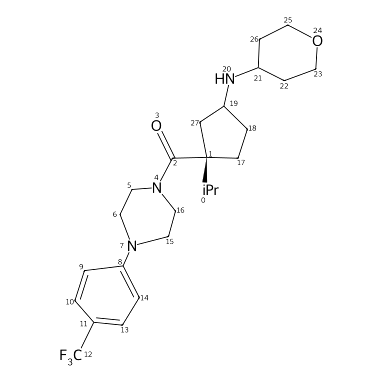 CC(C)[C@]1(C(=O)N2CCN(c3ccc(C(F)(F)F)cc3)CC2)CCC(NC2CCOCC2)C1